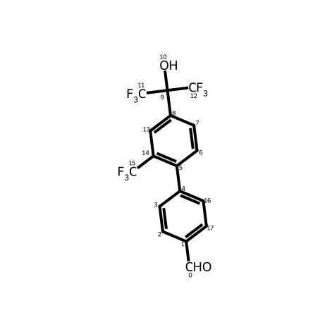 O=Cc1ccc(-c2ccc(C(O)(C(F)(F)F)C(F)(F)F)cc2C(F)(F)F)cc1